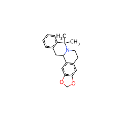 CC1(C)c2ccccc2CC2c3cc4c(cc3CCN21)OCO4